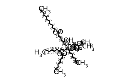 CCCCCCCCCCCOC(=O)CCCC(O)CN(CCCC(=O)OC(C)(C)C)C(C(O)CCCCCC)C(CCCCCCCC)OC(=O)CCCCCCC